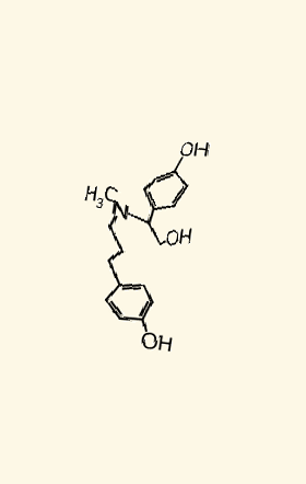 CN(CCCc1ccc(O)cc1)C(CO)c1ccc(O)cc1